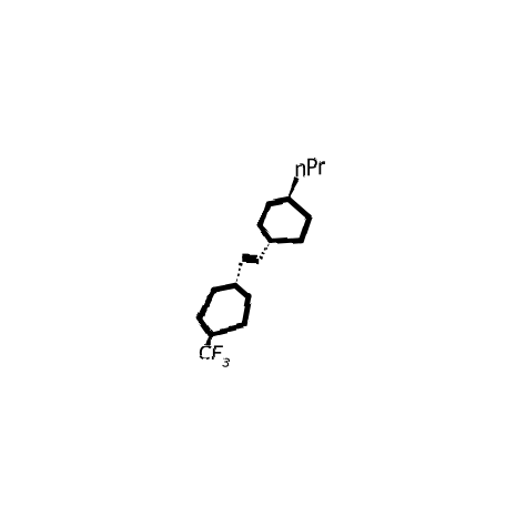 CCC[C@H]1CC[C@H](C=C[C@H]2CC[C@H](C(F)(F)F)CC2)CC1